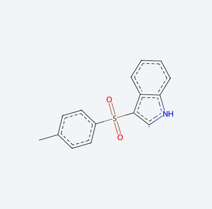 Cc1ccc(S(=O)(=O)c2[c][nH]c3ccccc23)cc1